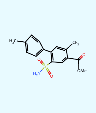 COC(=O)c1cc(S(N)(=O)=O)c(-c2ccc(C)cc2)cc1C(F)(F)F